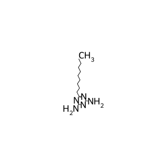 CCCCCCCCCCc1nc(N)nc(N)n1